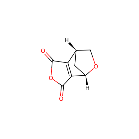 O=C1OC(=O)C2=C1[C@@H]1CO[C@H]2C1